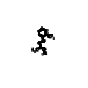 CCOC(C)=NOc1ccccc1C(F)(F)F